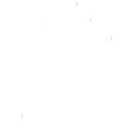 CCCCCCCCCCC[Si]1(CC(CCCC)CCCCCC)c2cc(C)sc2-c2sc(C)cc21